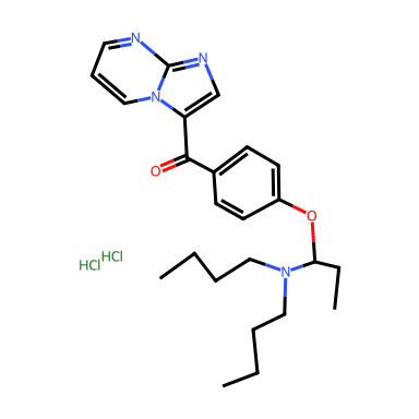 CCCCN(CCCC)C(CC)Oc1ccc(C(=O)c2cnc3ncccn23)cc1.Cl.Cl